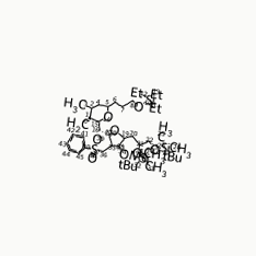 C=C1C(C)CC(CCCO[Si](CC)(CC)CC)OC1C[C@@H]1OC(CC(CO[Si](C)(C)C(C)(C)C)O[Si](C)(C)C(C)(C)C)[C@H](OC)C1CS(=O)(=O)c1ccccc1